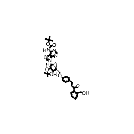 CC(C)(C)OC(=O)Nc1ncnc2c1ncn2[C@@H]1O[C@H](COc2ccc(CCC(=O)c3ccccc3CO)cc2)[C@H]2OC(C)(C)O[C@H]21